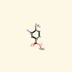 Cc1ccc(C(=O)OC(C)(C)C)cc1I